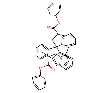 CC(Cc1ccccc1-c1ccccc1C1(CC(C)C(=O)Oc2ccccc2)c2ccccc2-c2ccccc21)C(=O)Oc1ccccc1